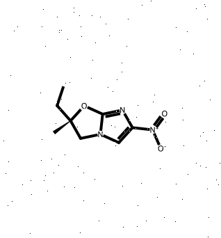 CC[C@@]1(C)Cn2cc([N+](=O)[O-])nc2O1